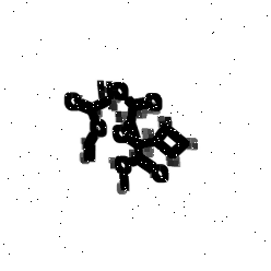 C=COC(C)=O.COC(=O)C1(C2CCC2)OC1C(=O)O